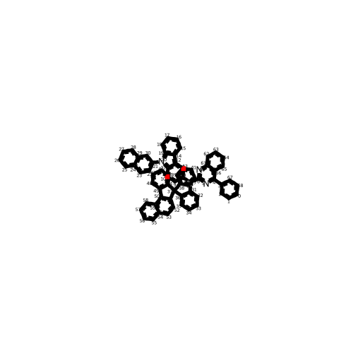 c1ccc(-c2nc(N(c3ccc4c(c3)c3ccccc3n4-c3ccc4ccccc4c3)c3ccccc3C3(c4ccccc4)c4ccccc4-c4c3ccc3ccccc43)nc3ccccc23)cc1